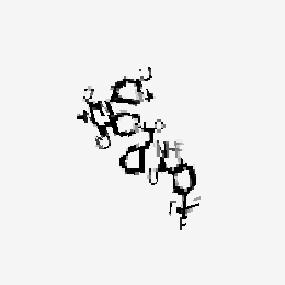 CN1C(=O)N(c2ccc(=O)n(C)c2)C2(CCN(C(=O)[C@H](NC(=O)c3cc(C(F)(F)F)ccc3F)C3CCCC3)CC2)C1=O